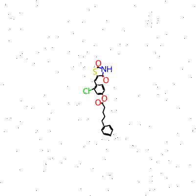 O=C(CCCCc1ccccc1)Oc1ccc(C=C2SC(=O)NC2=O)c(Cl)c1